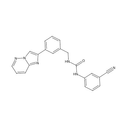 N#Cc1cccc(NC(=O)NCc2cccc(-c3cn4ncccc4n3)c2)c1